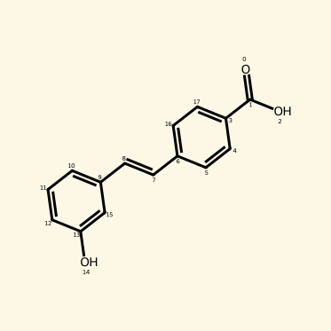 O=C(O)c1ccc(/C=C/c2cccc(O)c2)cc1